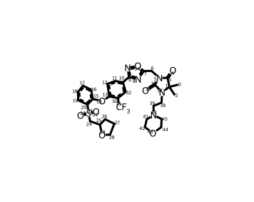 CC1(C)C(=O)N(Cc2nc(-c3ccc(Oc4ccccc4S(=O)(=O)CC4CCCO4)c(C(F)(F)F)c3)no2)C(=O)N1CCN1CCOCC1